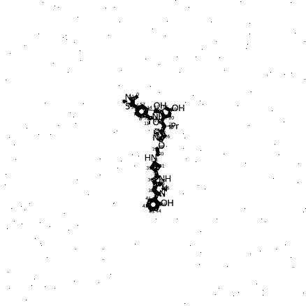 Cc1ncsc1-c1ccc([C@H](C)N[C@@](C)(O)[C@@H]2C[C@@H](O)CC2C(=O)[C@@H](c2cc(OCCNC34CC(c5cc6cc(-c7ccccc7O)nnc6[nH]5)(C3)C4)no2)C(C)C)cc1